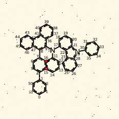 c1ccc(-c2ccc(-c3c(N(c4ccccc4)c4cccc5c4c4ccccc4n5-c4ccccc4)c4ccccc4c4ccccc34)cc2)cc1